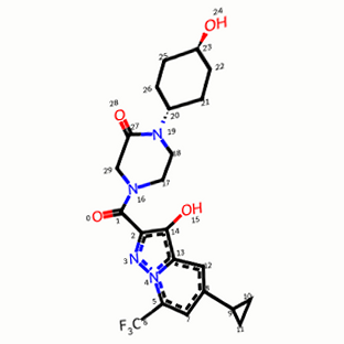 O=C(c1nn2c(C(F)(F)F)cc(C3CC3)cc2c1O)N1CCN([C@H]2CC[C@H](O)CC2)C(=O)C1